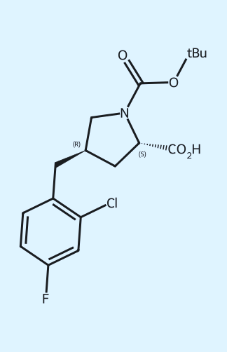 CC(C)(C)OC(=O)N1C[C@H](Cc2ccc(F)cc2Cl)C[C@H]1C(=O)O